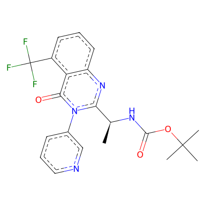 C[C@H](NC(=O)OC(C)(C)C)c1nc2cccc(C(F)(F)F)c2c(=O)n1-c1cccnc1